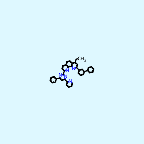 CCc1cc(-c2cccc(-c3ccccc3)c2)nc2c1ccc1ccc(-c3nc(-c4ccccc4)cc(-c4ccccn4)n3)nc12